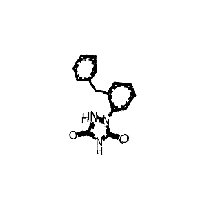 O=c1[nH]c(=O)n(-c2ccccc2Cc2ccccc2)[nH]1